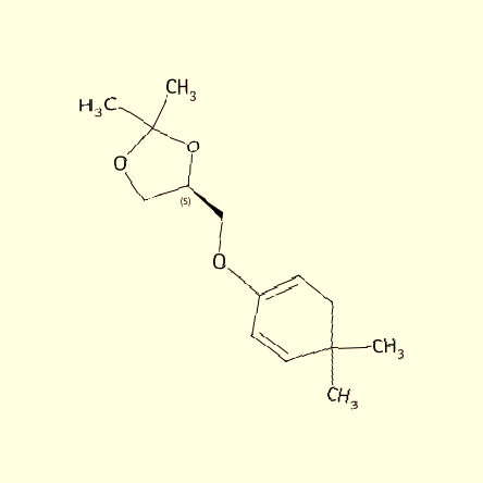 CC1(C)C=CC(OC[C@H]2COC(C)(C)O2)=CC1